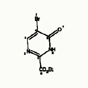 CCOC(=O)c1ncc(Br)c(=O)[nH]1